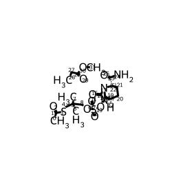 CC(=O)SCC(C)(C)COS(=O)(=O)ON1C(=O)N2C[C@H]1CC[C@H]2C(N)=O.CCC(=O)OC